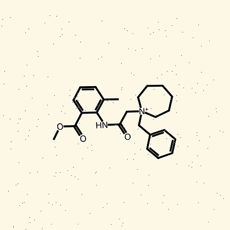 COC(=O)c1cccc(C)c1NC(=O)C[N+]1(Cc2ccccc2)CCCCCC1